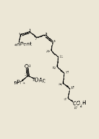 CCCC(=O)OC(C)=O.CCCCC/C=C\C/C=C\CCCCCCCC(=O)O